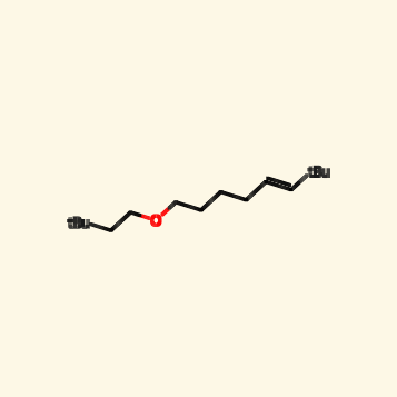 CC(C)(C)/C=C/CCCCOCCC(C)(C)C